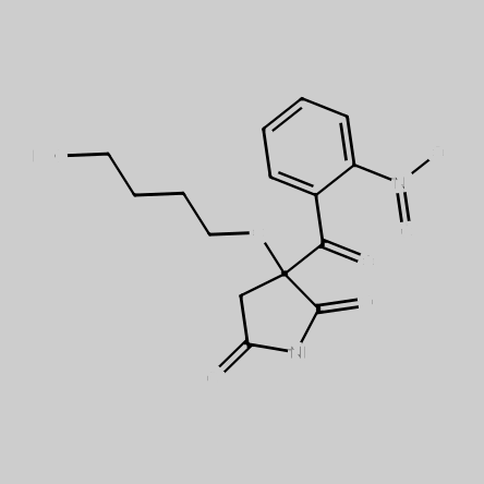 CCCCCOC1(C(=O)c2ccccc2[N+](=O)[O-])CC(=O)NC1=O